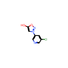 Oc1c[n+](-c2cncc(Cl)c2)no1